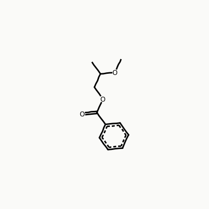 COC(C)COC(=O)c1ccccc1